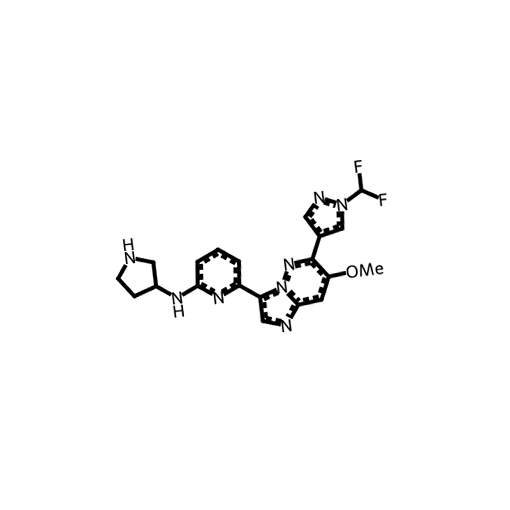 COc1cc2ncc(-c3cccc(NC4CCNC4)n3)n2nc1-c1cnn(C(F)F)c1